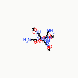 COC(=O)C(CCCCN)NC(=O)C(CCCCNC(=O)OC(C)(C)C)NC(=O)C(Cc1cn(C(=O)OC(C)(C)C)cn1)NC(=O)[C@H](CCCCN)NC(=O)OC(C)(C)C